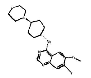 COc1cc2c(N[C@H]3CC[C@H](N4CCOCC4)CC3)ncnc2cc1F